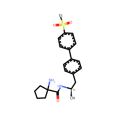 CCS(=O)(=O)c1ccc(-c2ccc(C[C@@H](C#N)NC(=O)C3(N)CCCC3)cc2)cc1